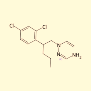 C=CN(CC(CCC)c1ccc(Cl)cc1Cl)/N=C\N